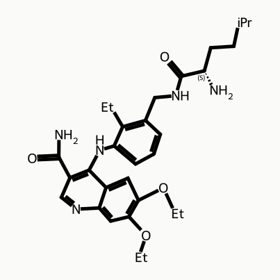 CCOc1cc2ncc(C(N)=O)c(Nc3cccc(CNC(=O)[C@@H](N)CCC(C)C)c3CC)c2cc1OCC